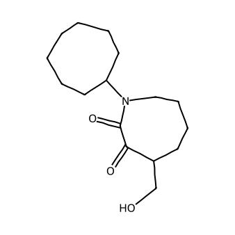 O=C1C(=O)N(C2CCCCCCC2)CCCCC1CO